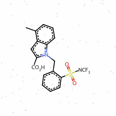 Cc1cccc2c1cc(C(=O)O)n2Cc1ccccc1S(=O)(=O)NC(F)(F)F